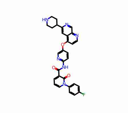 O=C(Nc1ccc(Oc2ccnc3cnc(C4CCNCC4)cc23)cn1)c1cccn(-c2ccc(F)cc2)c1=O